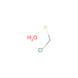 FCCl.O